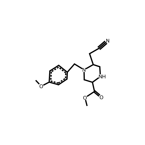 COC(=O)C1CN(Cc2ccc(OC)cc2)C(CC#N)CN1